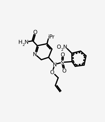 C=CCON(C1C=C(C(C)C)C(C(N)=O)=NC1)S(=O)(=O)c1ccccc1[N+](=O)[O-]